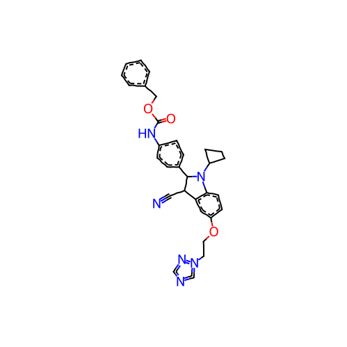 N#CC1c2cc(OCCn3cncn3)ccc2N(C2CCC2)C1c1ccc(NC(=O)OCc2ccccc2)cc1